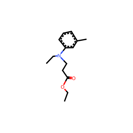 CCOC(=O)CCN(CC)c1cccc(C)c1